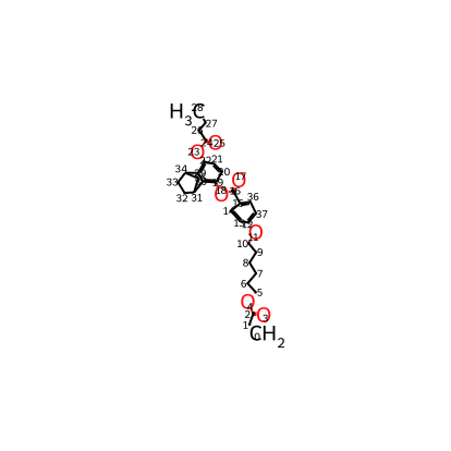 C=CC(=O)OCCCCCCOc1ccc(C(=O)Oc2ccc(OC(=O)CCC)c3c2C2CCC3C2)cc1